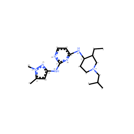 CCC1CN(C[C](C)C)CCC1Nc1ccnc(Nc2cc(C)n(C)n2)n1